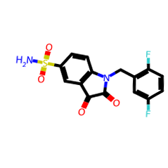 NS(=O)(=O)c1ccc2c(c1)C(=O)C(=O)N2Cc1cc(F)ccc1F